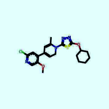 COc1cnc(Cl)cc1C1=CCN(c2nnc(OC3CCCCC3)s2)C(C)=C1